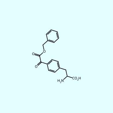 NC(Cc1ccc(C(=O)C(=O)OCc2ccccc2)cc1)C(=O)O